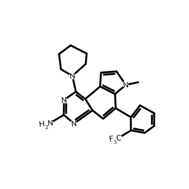 Cn1ccc2c3c(N4CCCCC4)nc(N)nc3cc(-c3ccccc3C(F)(F)F)c21